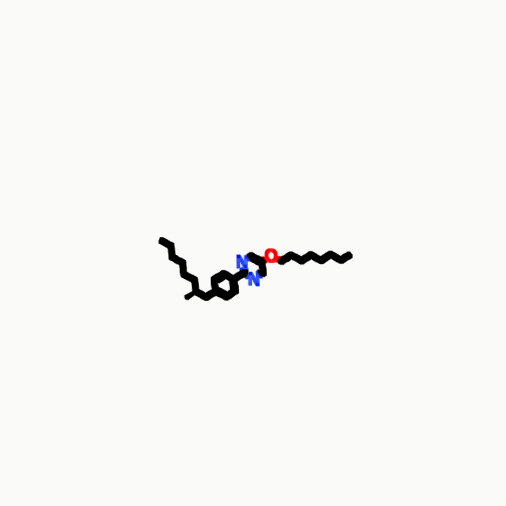 CCCCCCCCOc1cnc(-c2ccc(C[C@@H](C)CCCCCC)cc2)nc1